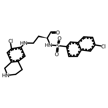 O=C[C@H](CCNc1cc2c(cc1Cl)CNCC2)NS(=O)(=O)c1ccc2cc(Cl)ccc2c1